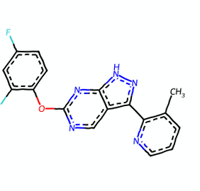 Cc1cccnc1-c1n[nH]c2nc(Oc3ccc(F)cc3F)ncc12